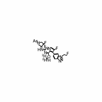 [2H]C([2H])([2H])Oc1nc(N[C@@H]2CN(C(C)=O)CC2(F)F)nn2cc(F)c(-c3ccc4nnn(CCF)c4c3)c12